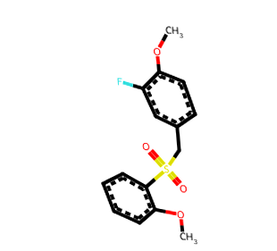 COc1ccc(CS(=O)(=O)c2ccccc2OC)cc1F